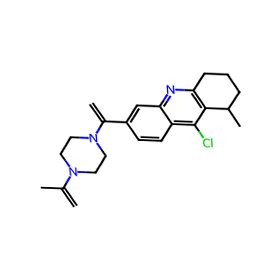 C=C(C)N1CCN(C(=C)c2ccc3c(Cl)c4c(nc3c2)CCCC4C)CC1